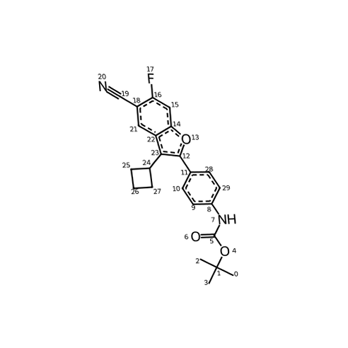 CC(C)(C)OC(=O)Nc1ccc(-c2oc3cc(F)c(C#N)cc3c2C2CCC2)cc1